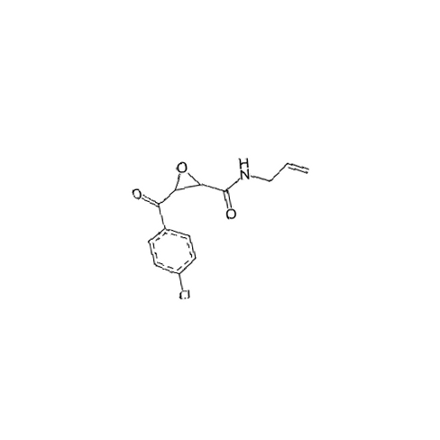 C=CCNC(=O)C1OC1C(=O)c1ccc(Cl)cc1